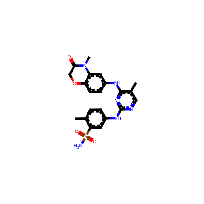 Cc1ccc(Nc2ncc(C)c(Nc3ccc4c(c3)N(C)C(=O)CO4)n2)cc1S(N)(=O)=O